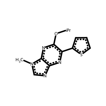 CC(C)Oc1nc2c(ncn2C)nc1-c1cccs1